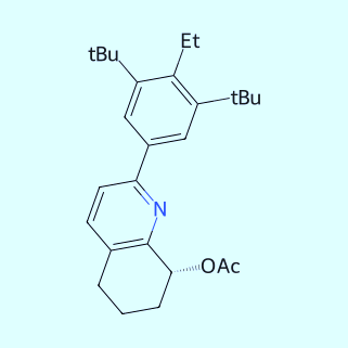 CCc1c(C(C)(C)C)cc(-c2ccc3c(n2)[C@H](OC(C)=O)CCC3)cc1C(C)(C)C